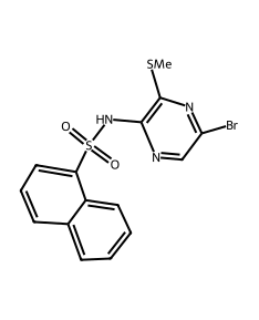 CSc1nc(Br)cnc1NS(=O)(=O)c1cccc2ccccc12